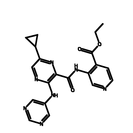 CCOC(=O)c1ccncc1NC(=O)c1nc(C2CC2)cnc1Nc1cncnc1